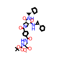 COC(=O)[C@H](CNC(=O)c1ccc(C(=O)N2C[C@@H](C(=O)N[C@H]3C[C@@H]3c3ccccc3)[C@H](C(=O)N[C@H]3C[C@@H]3c3ccccc3)C2)cc1)NC(=O)OC(C)(C)C